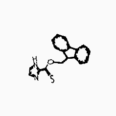 S=C(OCC1c2ccccc2-c2ccccc21)c1ncc[nH]1